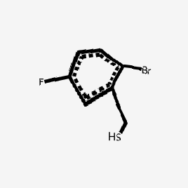 Fc1ccc(Br)c(CS)c1